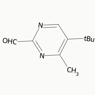 Cc1nc(C=O)ncc1C(C)(C)C